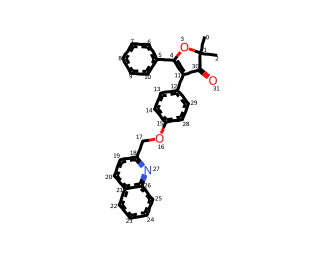 CC1(C)OC(c2ccccc2)=C(c2ccc(OCc3ccc4ccccc4n3)cc2)C1=O